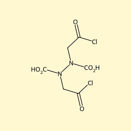 O=C(Cl)CN(C(=O)O)N(CC(=O)Cl)C(=O)O